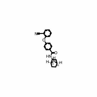 N#Cc1ccccc1Oc1ccc(C(=O)N[C@@H]2C[C@H]3CC[C@@H]2N3)cc1